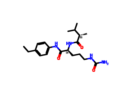 CCc1ccc(NC(=O)[C@H](CCCNC(N)=O)NC(=O)[C@@H](C)C(C)C)cc1